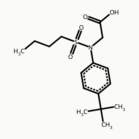 CCCCS(=O)(=O)N(CC(=O)O)c1ccc(C(C)(C)C)cc1